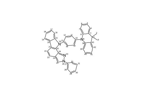 CC1(C)c2ccccc2N(c2ccc(-n3c4ccccc4c4ccc5cn(-c6ccccc6)nc5c43)cc2)c2ccccc21